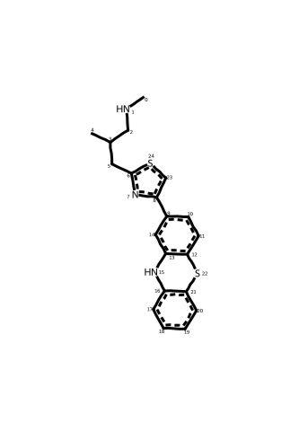 CNCC(C)Cc1nc(-c2ccc3c(c2)Nc2ccccc2S3)cs1